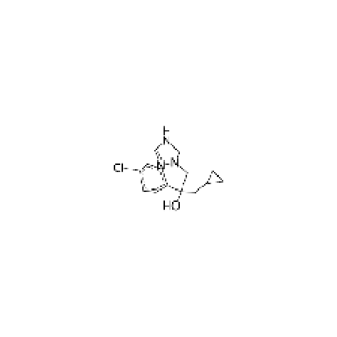 OC(CC1CC1)(CN1CNC=N1)c1ccc(Cl)cc1